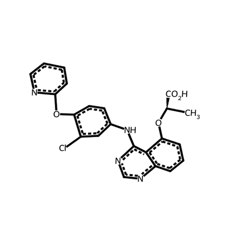 C[C@@H](Oc1cccc2ncnc(Nc3ccc(Oc4ccccn4)c(Cl)c3)c12)C(=O)O